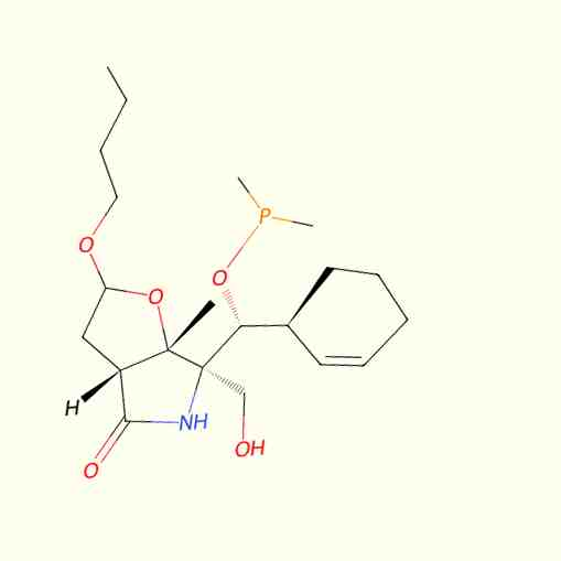 CCCCOC1C[C@H]2C(=O)N[C@](CO)([C@H](OP(C)C)[C@@H]3C=CCCC3)[C@@]2(C)O1